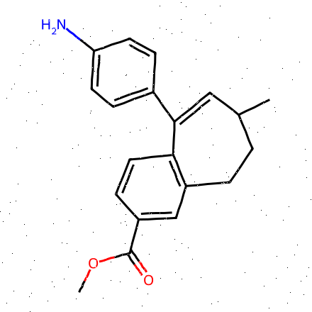 COC(=O)c1ccc2c(c1)CCC(C)C=C2c1ccc(N)cc1